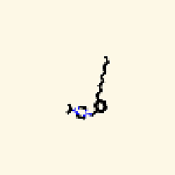 CCCCCCCCCc1cccc(CN2CCN(C(C)C)CC2)c1